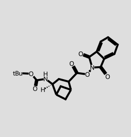 CC(C)(C)OC(=O)N[C@H]1CC(C(=O)ON2C(=O)c3ccccc3C2=O)C2CC1C2